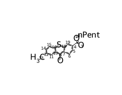 CCCCCOC(=O)c1ccc2c(=O)c3cc(C)ccc3sc2c1